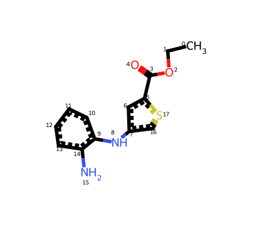 CCOC(=O)c1cc(Nc2ccccc2N)cs1